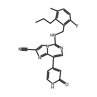 CCCc1c(C)ccc(F)c1CNc1ncc(-c2cc[nH]c(=O)c2)c2nc(C#N)cn12